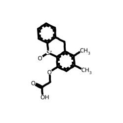 Cc1cc(OCC(=O)O)c2c(c1C)Cc1ccccc1[S+]2[O-]